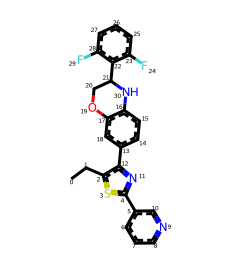 CCc1sc(-c2cccnc2)nc1-c1ccc2c(c1)OCC(c1c(F)cccc1F)N2